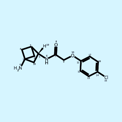 NC12CC(C1)[C@H](NC(=O)COc1ccc(Cl)cc1)C2